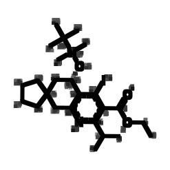 CCOC(=O)c1c(C(C)C)nc2c(c1I)[C@@H](O[Si](C)(C)C(C)(C)C)CC1(CCCC1)C2